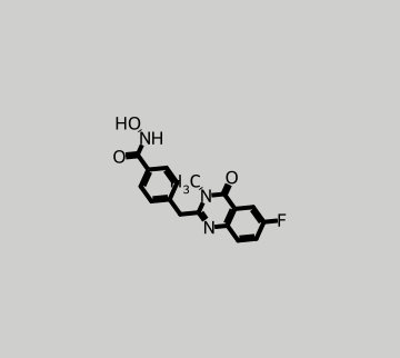 Cn1c(Cc2ccc(C(=O)NO)cc2)nc2ccc(F)cc2c1=O